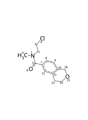 CN(CCCl)C(=O)c1ccc2c(c1)CCOC2